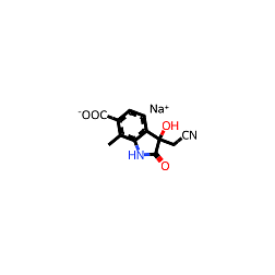 Cc1c(C(=O)[O-])ccc2c1NC(=O)C2(O)CC#N.[Na+]